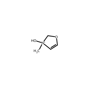 C[N+]1(O)C=COC1